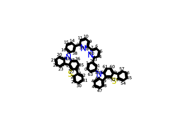 c1cc(-c2cccc(-c3cccc(-c4cccc(-n5c6ccccc6c6c7sc8ccccc8c7ccc65)c4)n3)n2)cc(-n2c3ccccc3c3c4sc5ccccc5c4ccc32)c1